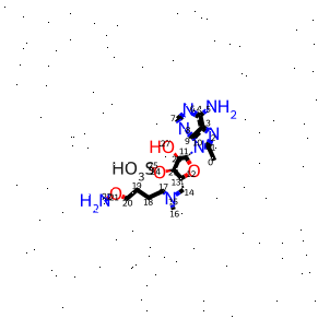 Cc1nc2c(N)ncnc2n1[C@@H]1O[C@H](CN(C)CCCCON)[C@@H](OS(=O)(=O)O)[C@H]1O